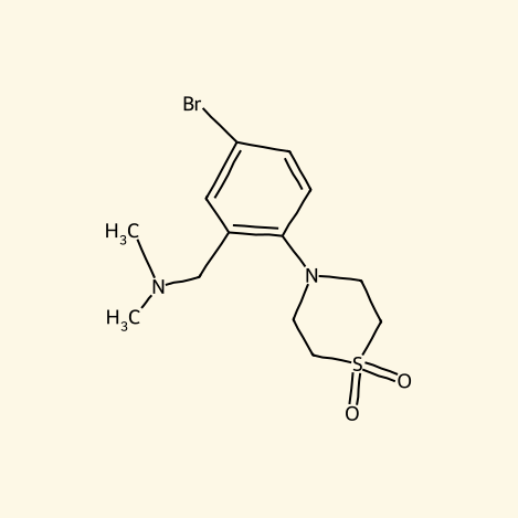 CN(C)Cc1cc(Br)ccc1N1CCS(=O)(=O)CC1